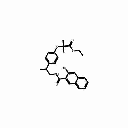 CCOC(=O)C(C)(C)Oc1ccc(C(C)CNC(=O)c2cc3ccccc3cc2O)cc1